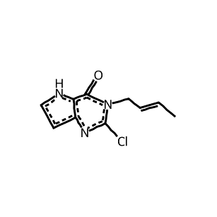 CC=CCn1c(Cl)nc2cc[nH]c2c1=O